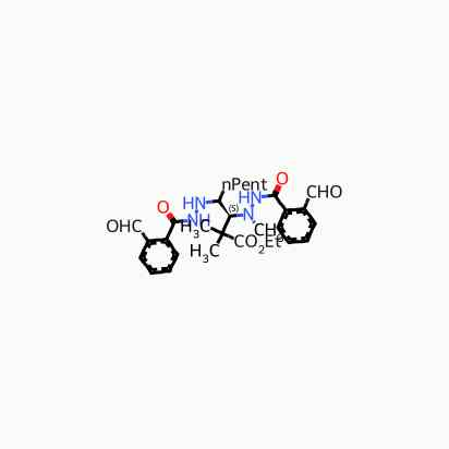 CCCCCC(NNC(=O)c1ccccc1C=O)[C@@H](N(C)NC(=O)c1ccccc1C=O)C(C)(C)C(=O)OCC